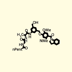 CCCCCC(=O)NCC(=O)NC(C)C(=O)Nc1cc(CO)cc(COc2cc(NC)c(C(=O)N3CCc4ccccc43)cc2OC)c1